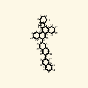 C1=CC2=c3c(c4c(n5c6c(nc35)C=CCC6)CCC=C4)=CC(C3C=CC4=CC(c5ccc6ccccc6c5)=CCC4C3)C2C=C1